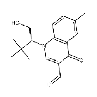 CC(C)(C)[C@@H](CO)n1cc(C=O)c(=O)c2cc(I)ccc21